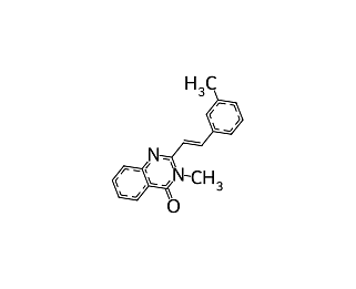 Cc1cccc(C=Cc2nc3ccccc3c(=O)n2C)c1